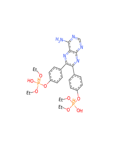 CCO[PH](O)(OCC)Oc1ccc(-c2nc3ncnc(N)c3nc2-c2ccc(O[PH](O)(OCC)OCC)cc2)cc1